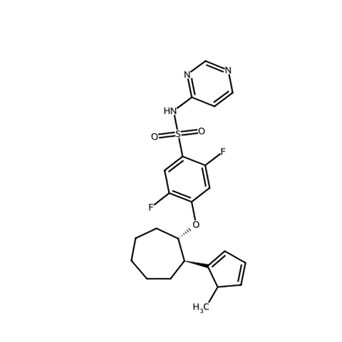 CC1C=CC=C1[C@H]1CCCCC[C@@H]1Oc1cc(F)c(S(=O)(=O)Nc2ccncn2)cc1F